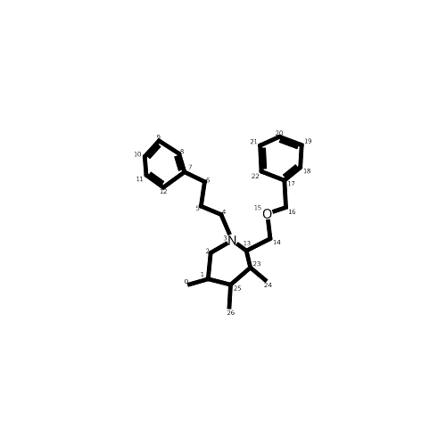 CC1CN(CCCc2ccccc2)C(COCc2ccccc2)C(C)C1C